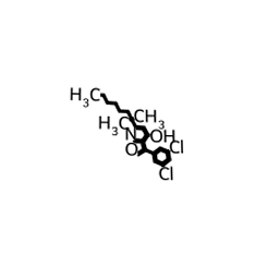 CCCCCCC(C)(C)c1cc(O)c2c(-c3cc(Cl)cc(Cl)c3)coc2n1